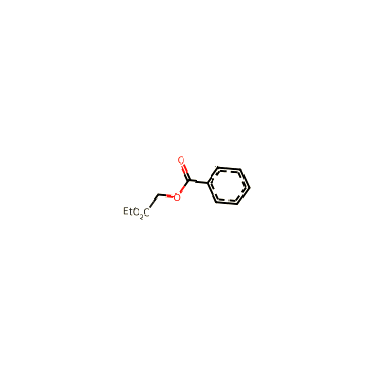 CCOC(=O)COC(=O)c1[c]cccc1